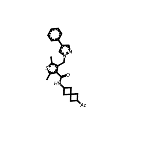 CC(=O)C1CC2(CC(NC(=O)c3c(C)sc(C)c3Cn3cc(-c4ccccc4)cn3)C2)C1